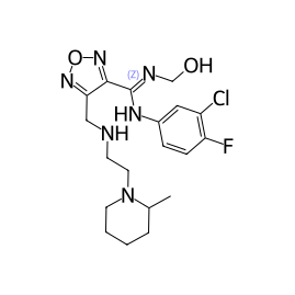 CC1CCCCN1CCNCc1nonc1/C(=N/CO)Nc1ccc(F)c(Cl)c1